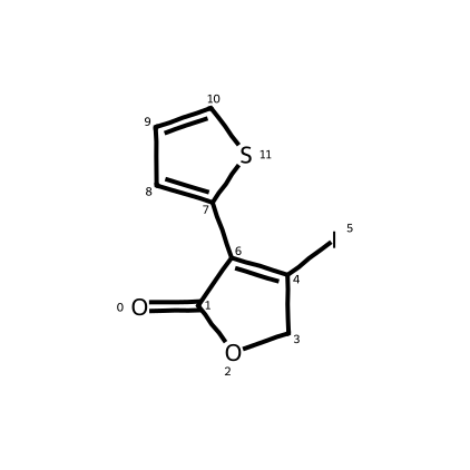 O=C1OCC(I)=C1c1cccs1